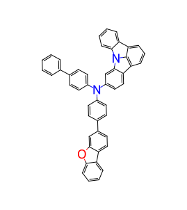 c1ccc(-c2ccc(N(c3ccc(-c4ccc5c(c4)oc4ccccc45)cc3)c3ccc4c5cccc6c7ccccc7n(c4c3)c65)cc2)cc1